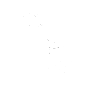 O=C(C[N+]12CCC(CC1)[C@@H](OC(=O)C(O)(c1cccs1)C1CCCC1)C2)Nc1ncncn1